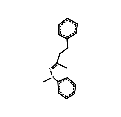 C/C(CCc1ccccc1)=N\N(C)c1ccccc1